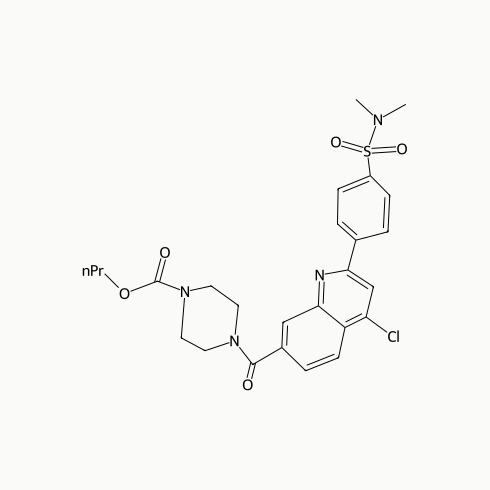 CCCOC(=O)N1CCN(C(=O)c2ccc3c(Cl)cc(-c4ccc(S(=O)(=O)N(C)C)cc4)nc3c2)CC1